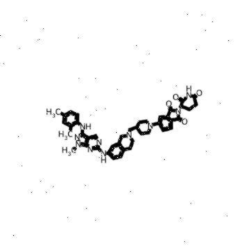 Cc1ccc(Nc2nn(C)c3nc(Nc4ccc5c(c4)CN(CC4CCN(c6ccc7c(c6)C(=O)N(C6CCC(=O)NC6=O)C7=O)CC4)CC5)ncc23)c(C)c1